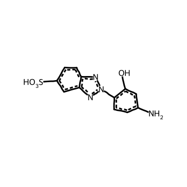 Nc1ccc(-n2nc3ccc(S(=O)(=O)O)cc3n2)c(O)c1